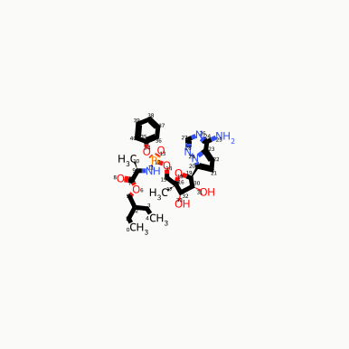 CCC(CC)COC(=O)[C@H](C)N[P@@](=O)(OC[C@@]1(C)O[C@@H](c2ccc3c(N)ncnn23)[C@H](O)[C@@H]1O)Oc1ccccc1